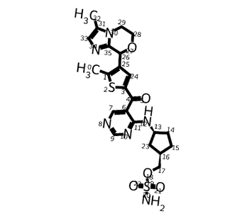 Cc1sc(C(=O)c2cncnc2N[C@H]2CC[C@@H](COS(N)(=O)=O)C2)cc1C1OCCn2c(C)cnc21